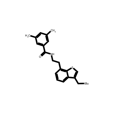 Cc1cc(C)cc(C(=O)NCCc2cccc3c(CC(C)(C)C)csc23)c1